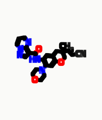 C[C@]1(CCC#N)COc2cc(N3CCOCC3)c(NC(=O)c3cnn4cccnc34)cc2C1